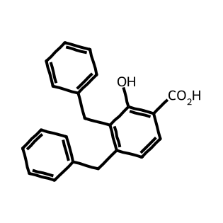 O=C(O)c1ccc(Cc2ccccc2)c(Cc2ccccc2)c1O